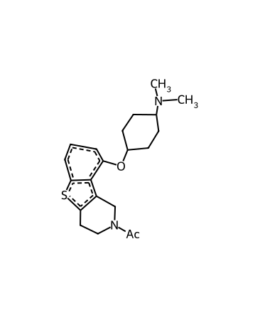 CC(=O)N1CCc2sc3cccc(OC4CCC(N(C)C)CC4)c3c2C1